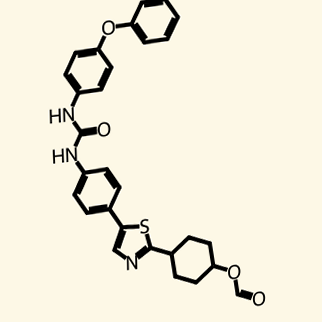 O=COC1CCC(c2ncc(-c3ccc(NC(=O)Nc4ccc(Oc5ccccc5)cc4)cc3)s2)CC1